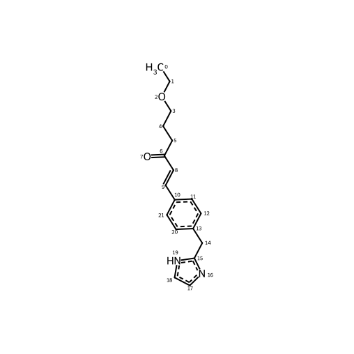 CCOCCCC(=O)C=Cc1ccc(Cc2ncc[nH]2)cc1